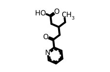 CCC(CC(=O)O)CC(=O)c1ccccn1